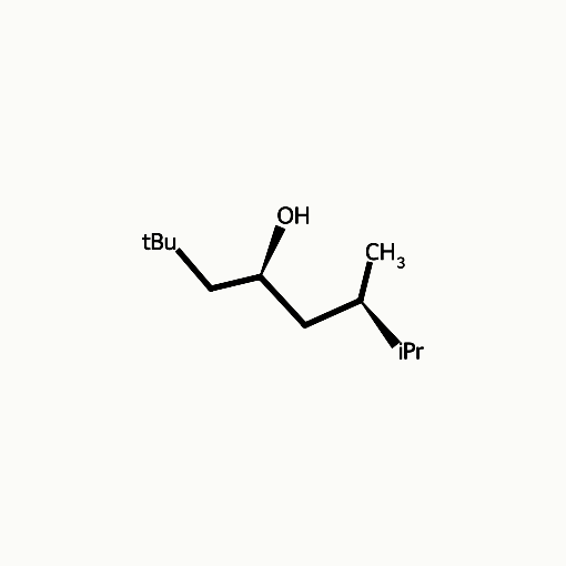 CC(C)[C@H](C)C[C@H](O)CC(C)(C)C